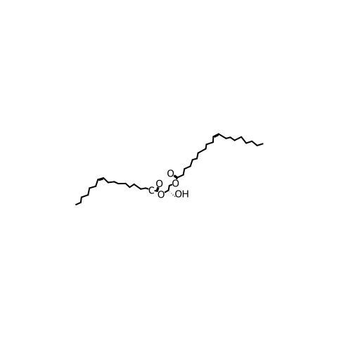 CCCCCC/C=C\CCCCCCCCCC(=O)O[C@@H](CO)COC(=O)CCCCCCCCC/C=C\CCCCCCCC